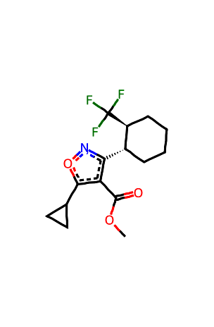 COC(=O)c1c([C@H]2CCCC[C@@H]2C(F)(F)F)noc1C1CC1